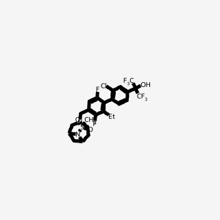 CCc1c(F)c(CN2CCC3CC(C2)N3S(C)(=O)=O)cc(F)c1-c1ccc(C(O)(C(F)(F)F)C(F)(F)F)cc1Cl